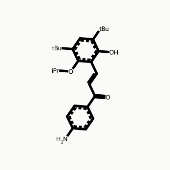 CC(C)Oc1c(C(C)(C)C)cc(C(C)(C)C)c(O)c1C=CC(=O)c1ccc(N)cc1